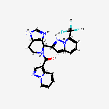 O=C(c1cnn2ccccc12)N1CCc2[nH]cnc2C1c1cc2cccc(C(F)(F)F)n2n1